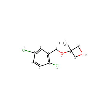 O=C(O)C1(OCc2cc(Cl)ccc2Cl)COC1